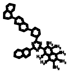 Bc1c(B)c(B)c2c(B)c(-c3nc(-c4cccc(-c5ccc6cc(-c7cccc8ccccc78)ccc6c5)c4)nc(-c4ccc5ccccc5c4)n3)c(B)c(B)c2c1B